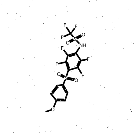 COc1ccc(S(=O)(=O)c2c(F)c(F)c(NS(=O)(=O)C(F)(F)F)c(F)c2F)cc1